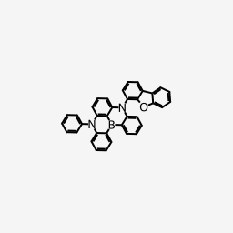 c1ccc(N2c3ccccc3B3c4ccccc4N(c4cccc5c4oc4ccccc45)c4cccc2c43)cc1